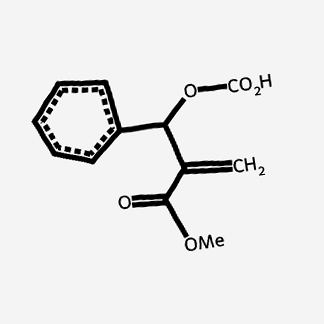 C=C(C(=O)OC)C(OC(=O)O)c1ccccc1